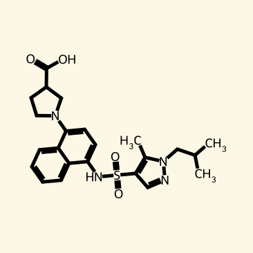 Cc1c(S(=O)(=O)Nc2ccc(N3CCC(C(=O)O)C3)c3ccccc23)cnn1CC(C)C